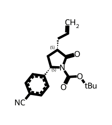 C=CC[C@H]1C[C@@H](c2ccc(C#N)cc2)N(C(=O)OC(C)(C)C)C1=O